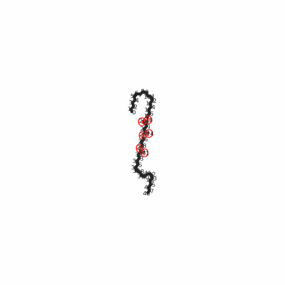 CCCCC/C=C\C/C=C\C/C=C\CCCCCOC(=O)CCC(=O)OCCCOC(=O)CCCC/C=C\C/C=C\C/C=C\CCCCC